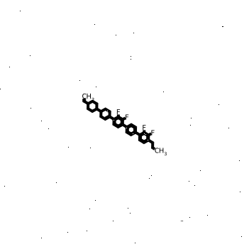 C=CC1CCC(C2CC=C(c3ccc(-c4ccc(-c5ccc(CCC)c(F)c5F)cc4)c(F)c3F)CC2)CC1